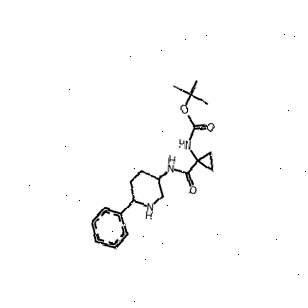 CC(C)(C)OC(=O)NC1(C(=O)NC2CCC(c3ccccc3)NC2)CC1